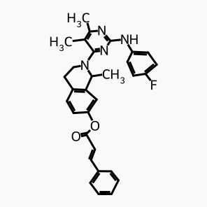 Cc1nc(Nc2ccc(F)cc2)nc(N2CCc3ccc(OC(=O)/C=C/c4ccccc4)cc3C2C)c1C